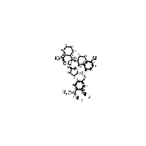 CN(N)c1ccc(COc2ccc(Cl)c3c2C(N2CCCC2=O)N(C(=O)C2CCCCC2C(=O)O)CC3)cc1N